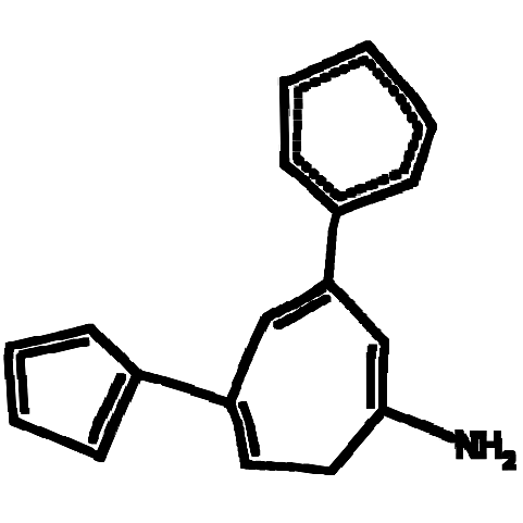 NC1=CC(c2ccccc2)=CC(C2=CC=C=C2)=CC1